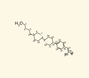 CCCCC[C@H]1CC[C@H]([C@H]2CC[C@H](c3ccc(C=C(F)F)cc3)CC2)CC1